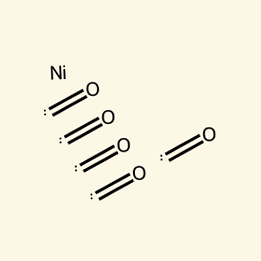 [C]=O.[C]=O.[C]=O.[C]=O.[C]=O.[Ni]